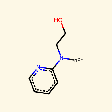 CCCN(CCO)c1ccccn1